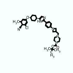 CC1C=C(O[C@H]2CC[C@H](c3cnc(-c4ccc(N5CC(CN6CCN(C(=O)OC(C)(C)C)CC6)C5)cc4)[nH]3)CC2)C=C(Cl)C1C#N